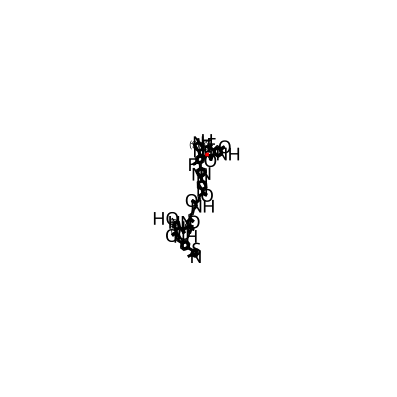 Cc1ncsc1-c1ccc(CNC(=O)[C@@H]2C[C@@H](O)CN2C(=O)[C@@H](NC(=O)CCCNC(=O)CCC(=O)N2CCN(c3ncc(-c4cc(NC(=O)c5c[nH]c(=O)cc5C(F)(F)F)c(N5C[C@@H](C)N(C)[C@@H](C)C5)cc4F)cn3)CC2)C(C)(C)C)cc1